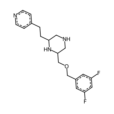 Fc1cc(F)cc(COCC2CNCC(CCc3ccncc3)N2)c1